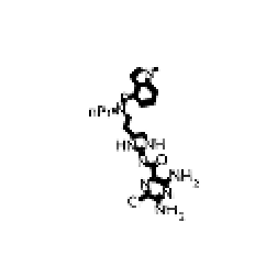 CCCN(CCC1CN/C(=N\C(=O)c2nc(Cl)c(N)nc2N)N1)Sc1cccc2c1ccn2C